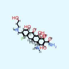 CN(CCCO)Cc1cc(O)c2c(c1F)C[C@H]1C[C@H]3[C@H](N(C)C)C(O)=C(C(N)=O)C(=O)[C@@]3(O)C(O)=C1C2=O